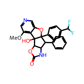 COc1cncc2c1C1(O)C3OC(=O)NC3C(c3ccccc3)C1(c1ccc(C(F)F)cc1)O2